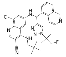 CC(C)(C)CNc1c(C#N)cnc2c(Cl)cc(NC(c3cn(C(C)(C)CF)nn3)c3cccc4cnccc34)cc12